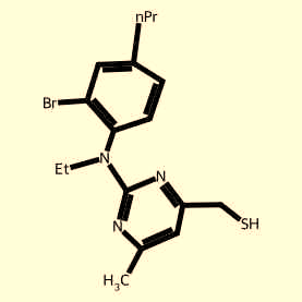 CCCc1ccc(N(CC)c2nc(C)cc(CS)n2)c(Br)c1